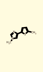 Cc1ccc(-c2cn(C)cn2)s1